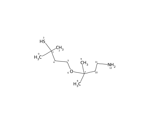 CC(C)(S)CCOC(C)(C)CCN